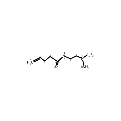 C=CCCC(=O)NCCN(C)C